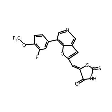 O=C1NC(=S)S/C1=C\c1cc2cncc(-c3ccc(OC(F)(F)F)c(F)c3)c2o1